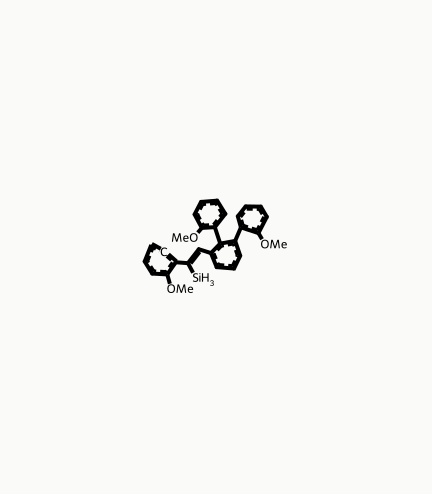 COc1ccccc1C([SiH3])=Cc1cccc(-c2ccccc2OC)c1-c1ccccc1OC